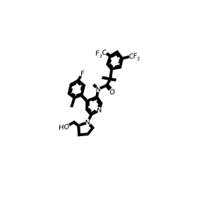 Cc1ccc(F)cc1-c1cc(N2CCCC2CO)ncc1N(C)C(=O)C(C)(C)c1cc(C(F)(F)F)cc(C(F)(F)F)c1